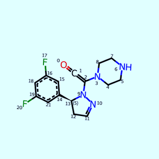 O=C=C(N1CCNCC1)N1N=CC[C@H]1c1cc(F)cc(F)c1